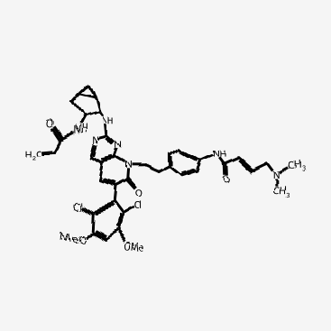 C=CC(=O)NC1CC2CC2C1Nc1ncc2cc(-c3c(Cl)c(OC)cc(OC)c3Cl)c(=O)n(CCc3ccc(NC(=O)/C=C/CN(C)C)cc3)c2n1